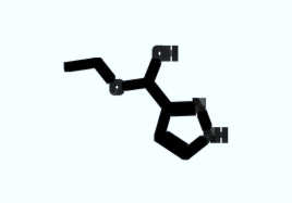 CCOC(O)c1cc[nH]n1